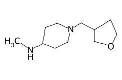 CNC1CCN(CC2CCOC2)CC1